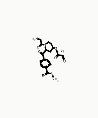 CSC(=N)c1ccc(C(=O)C2CC(OC(=O)C=O)CCN2C(=O)CN)cc1.I